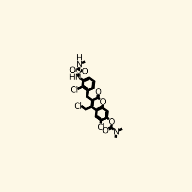 CNS(=O)(=O)Nc1cccc(Cc2c(CCl)c3cc(Cl)c(OC(=O)N(C)C)cc3oc2=O)c1Cl